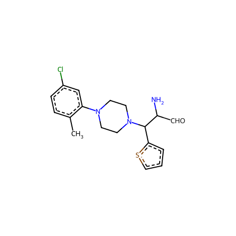 Cc1ccc(Cl)cc1N1CCN(C(c2cccs2)C(N)C=O)CC1